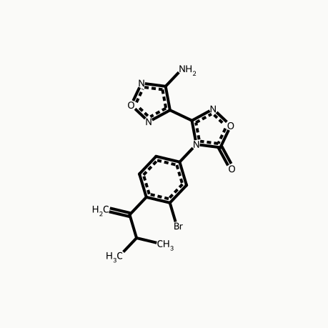 C=C(c1ccc(-n2c(-c3nonc3N)noc2=O)cc1Br)C(C)C